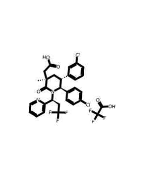 C[C@]1(CC(=O)O)C[C@H](c2cccc(Cl)c2)[C@@H](c2ccc(Cl)cc2)N([C@@H](CC(F)(F)F)c2ccccn2)C1=O.O=C(O)C(F)(F)F